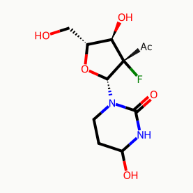 CC(=O)[C@]1(F)[C@H](O)[C@@H](CO)O[C@H]1N1CCC(O)NC1=O